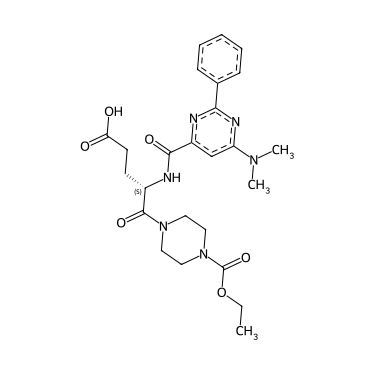 CCOC(=O)N1CCN(C(=O)[C@H](CCC(=O)O)NC(=O)c2cc(N(C)C)nc(-c3ccccc3)n2)CC1